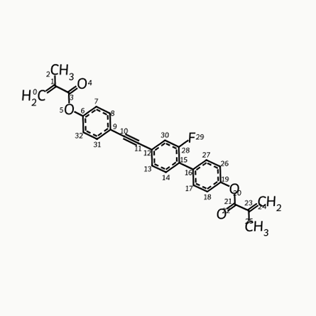 C=C(C)C(=O)Oc1ccc(C#Cc2ccc(-c3ccc(OC(=O)C(=C)C)cc3)c(F)c2)cc1